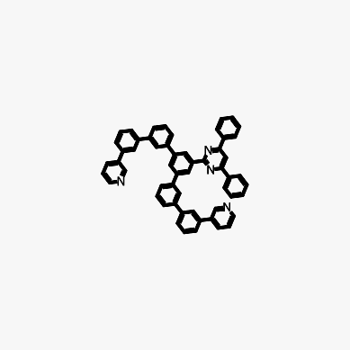 c1ccc(-c2cc(-c3ccccc3)nc(-c3cc(-c4cccc(-c5cccc(-c6cccnc6)c5)c4)cc(-c4cccc(-c5cccc(-c6cccnc6)c5)c4)c3)n2)cc1